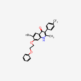 CCCCc1cc2c(=O)c(-c3ccc(C(F)(F)F)cc3)c(C)[nH]c2cc1OCCOc1ccccc1